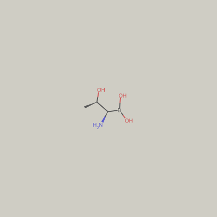 C[C@@H](O)[C@H](N)B(O)O